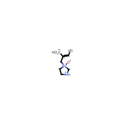 CCC=C(C[N+]1([O-])CCNC1)C(=O)O